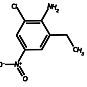 CCc1cc([N+](=O)[O-])cc(Cl)c1N